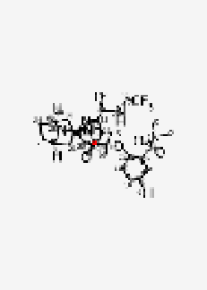 CN(C)S(=O)(=O)c1cc(Cl)ccc1OC(C)(C)C(=O)N[C@H]1C[C@H]2CC[C@@H](C1)N2c1cccc(C(=O)NCC(F)(F)F)n1